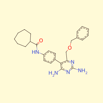 Nc1nc(N)c(-c2ccc(NC(=O)C3CCCCCC3)cc2)c(COCc2ccccc2)n1